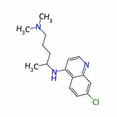 CC(CCCN(C)C)Nc1ccnc2cc(Cl)ccc12